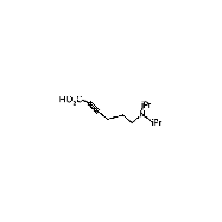 CC(C)N(CCCC#CC(=O)O)C(C)C